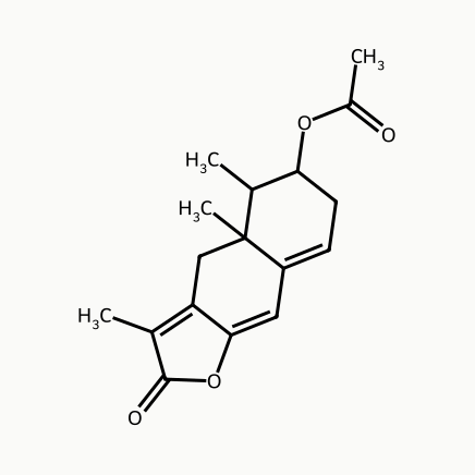 CC(=O)OC1CC=C2C=C3OC(=O)C(C)=C3CC2(C)C1C